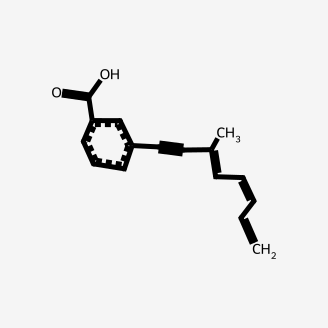 C=C/C=C\C=C(/C)C#Cc1cccc(C(=O)O)c1